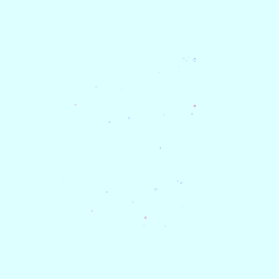 C=C(O)C1OC(OC)C(O)C(OC2OC(CS)C(O)C(O)C2NC(C)O)C1O